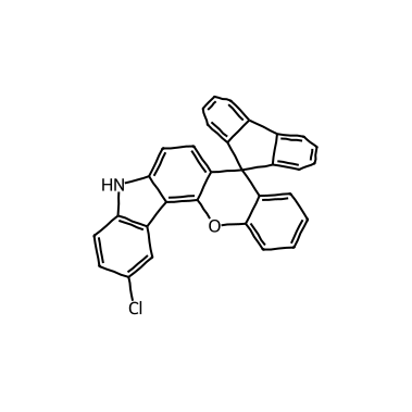 Clc1ccc2[nH]c3ccc4c(c3c2c1)Oc1ccccc1C41c2ccccc2-c2ccccc21